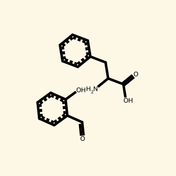 NC(Cc1ccccc1)C(=O)O.O=Cc1ccccc1O